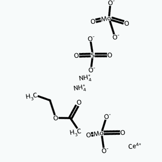 CCOC(C)=O.O=S(=O)([O-])[O-].[Ce+4].[NH4+].[NH4+].[O]=[Mo](=[O])([O-])[O-].[O]=[Mo](=[O])([O-])[O-]